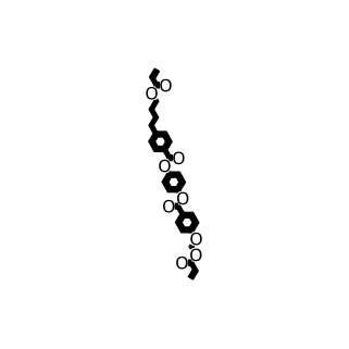 C=CC(=O)OCCCCc1ccc(C(=O)Oc2ccc(OC(=O)c3ccc(OCOC(=O)C=C)cc3)cc2)cc1